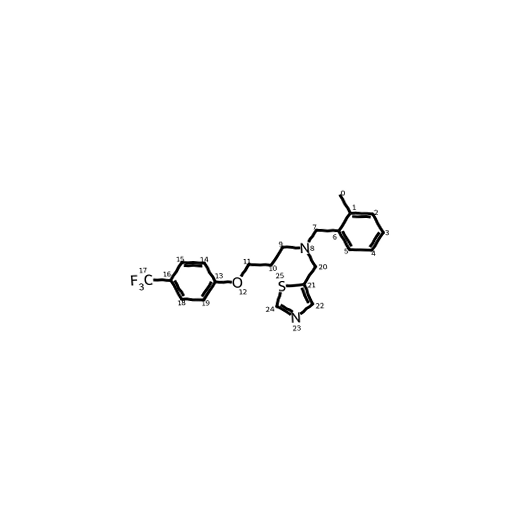 Cc1ccccc1CN(CCCOc1ccc(C(F)(F)F)cc1)Cc1cncs1